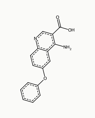 Nc1c(C(=O)O)cnc2ccc(Oc3ccccc3)cc12